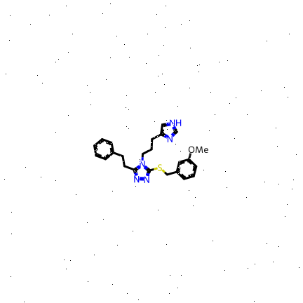 COc1cccc(CSc2nnc(CCc3ccccc3)n2CCCc2c[nH]cn2)c1